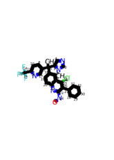 Cn1cncc1C(C)(c1ccc(C(F)(F)F)nc1)c1ccc2nc(N=O)c(-c3ccccc3)c(Cl)c2c1